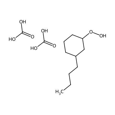 CCCCC1CCCC(OO)C1.O=C(O)O.O=C(O)O